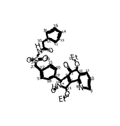 CCOC1C(=O)C2=C(c3ncccc31)C(OCC)[NH+]([O-])C2c1ccc(CS(=O)(=O)NC(=O)Cc2ccccc2)cc1